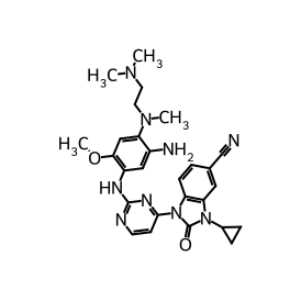 COc1cc(N(C)CCN(C)C)c(N)cc1Nc1nccc(-n2c(=O)n(C3CC3)c3cc(C#N)ccc32)n1